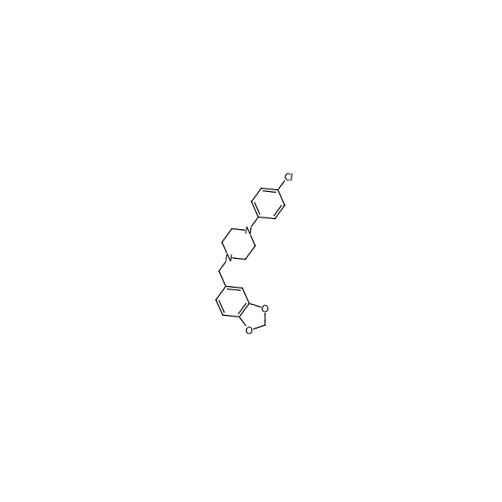 Clc1ccc(N2CCN(Cc3ccc4c(c3)OCO4)CC2)cc1